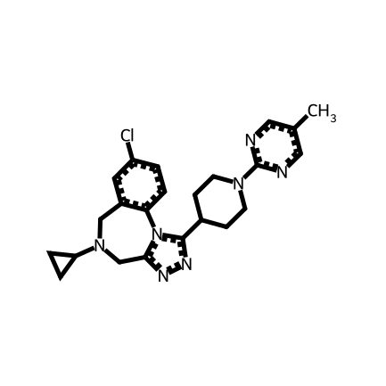 Cc1cnc(N2CCC(c3nnc4n3-c3ccc(Cl)cc3CN(C3CC3)C4)CC2)nc1